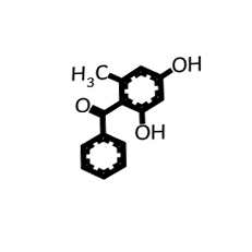 Cc1cc(O)cc(O)c1C(=O)c1ccccc1